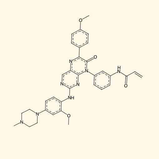 C=CC(=O)Nc1cccc(-n2c(=O)c(-c3ccc(OC)cc3)nc3cnc(Nc4ccc(N5CCN(C)CC5)cc4OC)nc32)c1